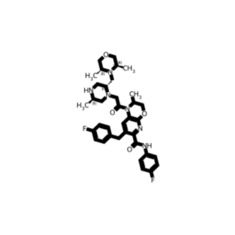 CC1COc2nc(C(=O)Nc3ccc(F)cc3)c(Cc3ccc(F)cc3)cc2N1C(=O)CN1C[C@@H](C)NC[C@@H]1CN1[C@H](C)COC[C@H]1C